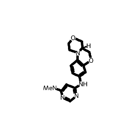 CNc1cc(Nc2ccc3c(c2)OC[C@H]2COCCN32)ncn1